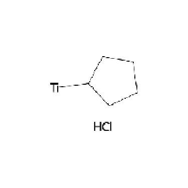 Cl.[Ti][CH]1CCCC1